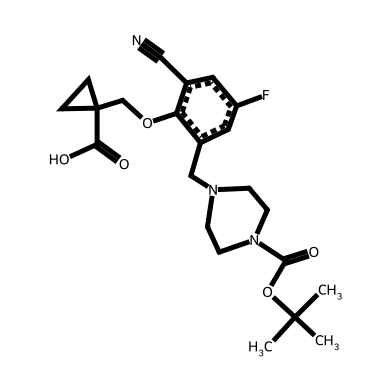 CC(C)(C)OC(=O)N1CCN(Cc2cc(F)cc(C#N)c2OCC2(C(=O)O)CC2)CC1